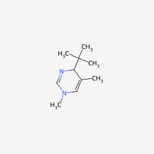 CC1=CN(C)C=NC1C(C)(C)C